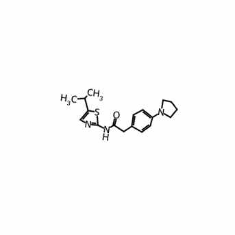 CC(C)c1cnc(NC(=O)Cc2ccc(N3CCCC3)cc2)s1